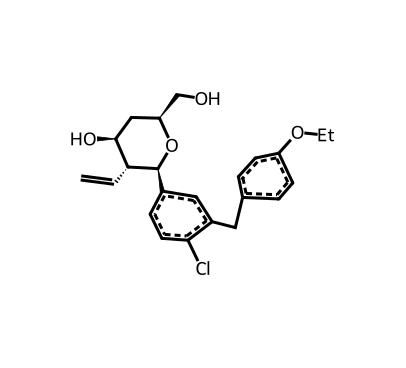 C=C[C@@H]1[C@@H](O)C[C@@H](CO)O[C@H]1c1ccc(Cl)c(Cc2ccc(OCC)cc2)c1